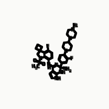 CCN1CCN(C2CCN(c3ccc(C4(N)N=C(Nc5ccc(F)c6c5N(S(C)(=O)=O)CC65CCC5)c5cc[nH]c5N4)cc3F)CC2)CC1